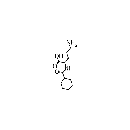 NCCC[C@@H](NC(=O)C1CCCCC1)C(=O)O